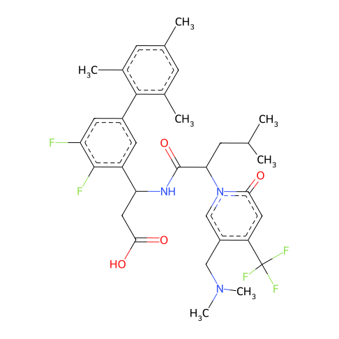 Cc1cc(C)c(-c2cc(F)c(F)c(C(CC(=O)O)NC(=O)C(CC(C)C)n3cc(CN(C)C)c(C(F)(F)F)cc3=O)c2)c(C)c1